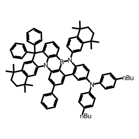 CCCCc1ccc(N(c2ccc(CCCC)cc2)c2ccc3c(c2)-c2cc(-c4ccccc4)cc4c2B(c2cccc5c2N4c2cc4c(cc2C5(c2ccccc2)c2ccccc2)C(C)(C)CCC4(C)C)N3c2ccc3c(c2)C(C)(C)CCC3(C)C)cc1